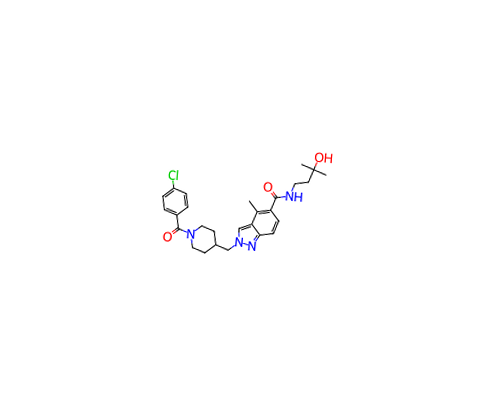 Cc1c(C(=O)NCCC(C)(C)O)ccc2nn(CC3CCN(C(=O)c4ccc(Cl)cc4)CC3)cc12